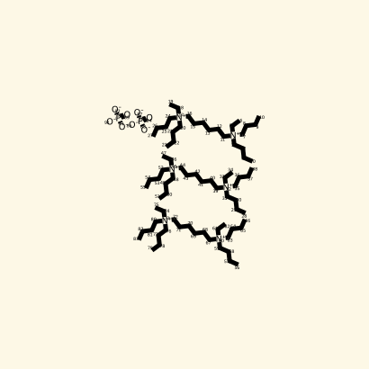 CCCC[N+](CC)(CCCC)CCCCCC[N+](CC)(CCCC)CCCC.CCCC[N+](CC)(CCCC)CCCCCC[N+](CC)(CCCC)CCCC.CCCC[N+](CC)(CCCC)CCCCCC[N+](CC)(CCCC)CCCC.O=P([O-])([O-])[O-].O=P([O-])([O-])[O-]